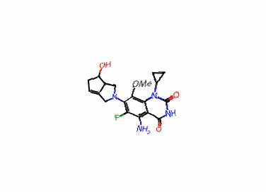 COc1c(N2CC3=CCC(O)C3C2)c(F)c(N)c2c(=O)[nH]c(=O)n(C3CC3)c12